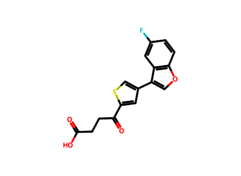 O=C(O)CCC(=O)c1cc(-c2coc3ccc(F)cc23)cs1